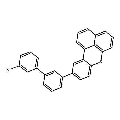 Brc1cccc(-c2cccc(-c3ccc4c(c3)-c3cccc5cccc(c35)S4)c2)c1